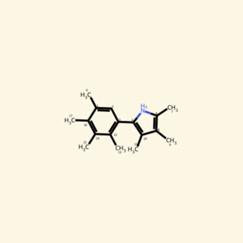 Cc1cc(-c2[nH]c(C)c(C)c2C)c(C)c(C)c1C